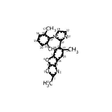 Cc1nc2c(o1)oc1cc(-c3nccn3-c3c(C)cccc3C)c(C)cc12